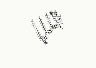 CCCCCCCCCCCCCCCCCC[N+](C)(C)Cc1ccccc1.CCCCCCCCCCCCCCCC[N+](C)(C)C.CCCCCCCCCCCCCC[N+](C)(C)Cc1ccccc1.CCCCCCCCCCCC[N+](C)(C)C.CCCCCCCCCCCC[N+](C)(C)Cc1ccccc1.[Cl-].[Cl-].[Cl-].[Cl-].[Cl-]